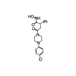 CC(C)C(CC(=O)N1CCN(c2ccc(Cl)cc2)CC1)C(=O)NO